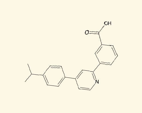 CC(C)c1ccc(-c2ccnc(-c3cccc(C(=O)O)c3)c2)cc1